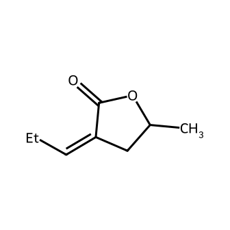 CC/C=C1/CC(C)OC1=O